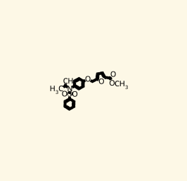 COC(=O)c1ccc(COc2ccc(N(C(C)C)S(=O)(=O)c3ccccc3)cc2)o1